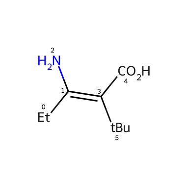 CCC(N)=C(C(=O)O)C(C)(C)C